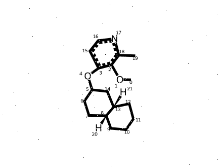 COc1c(OC2CC[C@H]3CCCC[C@H]3C2)ccnc1C